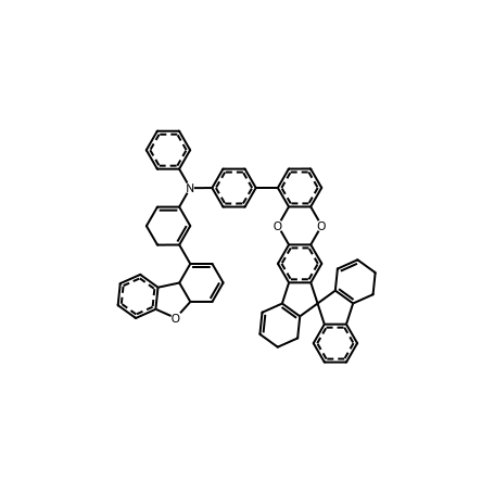 C1=CC2Oc3ccccc3C2C(C2=CC(N(c3ccccc3)c3ccc(-c4cccc5c4Oc4cc6c(cc4O5)C4(C5=C(CCC=C5)c5ccccc54)C4=C6C=CCC4)cc3)=CCC2)=C1